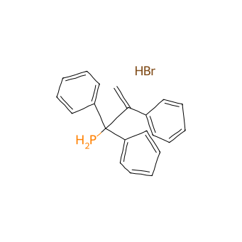 Br.C=C(c1ccccc1)C(P)(c1ccccc1)c1ccccc1